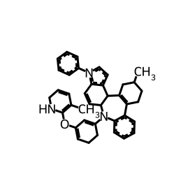 CC1=C(OC2=CCCC(N3c4ccccc4C4=C(CC(C)CC4)C4c5ccn(-c6ccccc6)c5C=CC43)=C2)NCC=C1